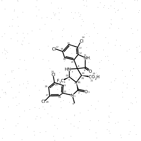 CN(C(=O)[C@H]1[C@@H](C(F)(F)F)NC2(C(=O)Nc3c(Cl)cc(Cl)cc32)[C@H]1C(=O)O)c1cc(Cl)cc(Cl)c1